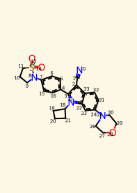 N#Cc1c(-c2ccc(N3CCCS3(=O)=O)cc2)n(C2CCC2)c2cc(N3CCOCC3)ccc12